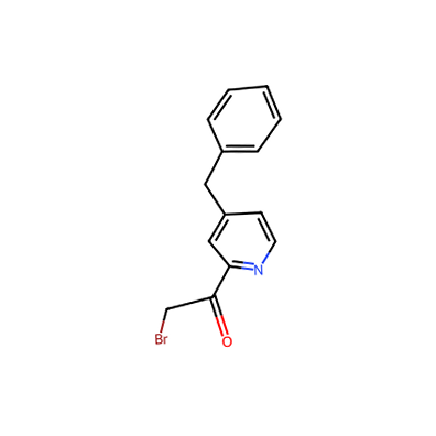 O=C(CBr)c1cc(Cc2ccccc2)ccn1